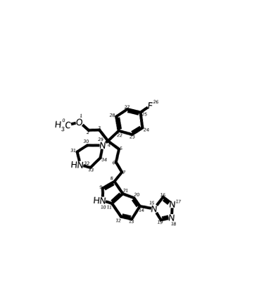 COCCC(CCCc1c[nH]c2ccc(-n3cnnc3)cc12)(c1ccc(F)cc1)N1CCNCC1